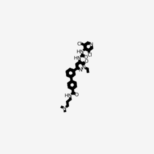 CCn1nc(-c2cccc(-c3ccc(C(=O)NCCCN(C)C)cc3)c2)cc(NC(=O)Nc2c(Cl)cncc2Cl)c1=O